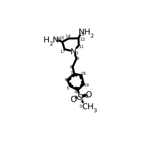 CS(=O)(=O)c1ccc(CCN2CC(N)CC(N)C2)cc1